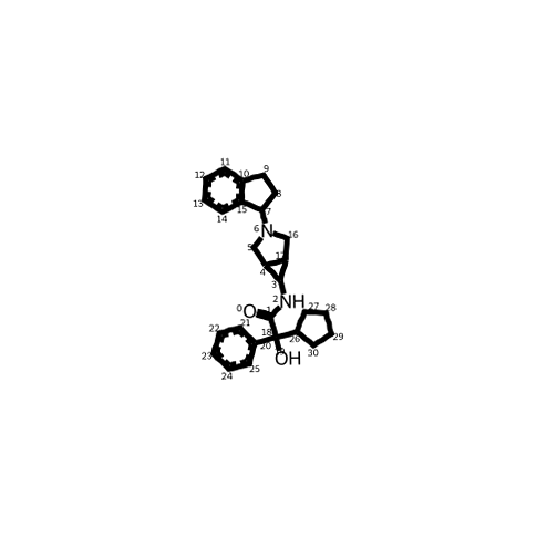 O=C(NC1C2CN(C3CCc4ccccc43)CC21)C(O)(c1ccccc1)C1CCCC1